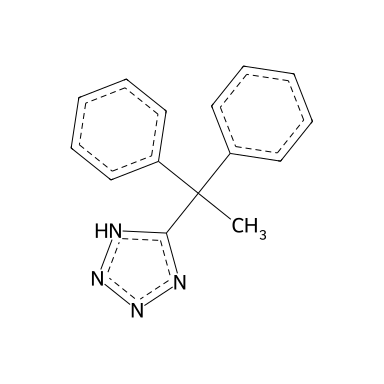 CC(c1ccccc1)(c1ccccc1)c1nnn[nH]1